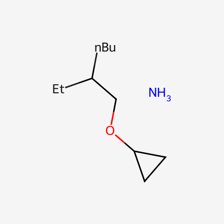 CCCCC(CC)COC1CC1.N